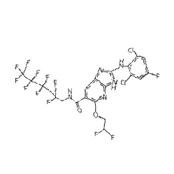 O=C(NCC(F)(F)C(F)(F)C(F)(F)C(F)(F)F)c1cc2nc(Nc3c(Cl)cc(F)cc3Cl)[nH]c2nc1OCC(F)F